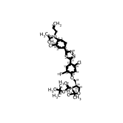 C=CCN(c1ccc(-c2nnc(-c3cc(F)c(OC[C@H]4COC(C)(C)N4C(=O)OC(C)(C)C)cc3Cl)s2)cc1Cl)C(C)C